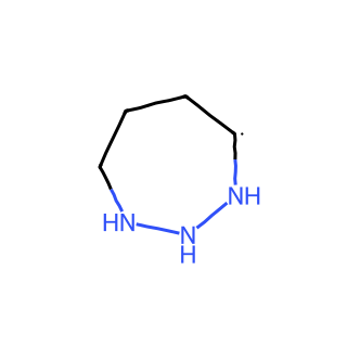 [CH]1CCCNNN1